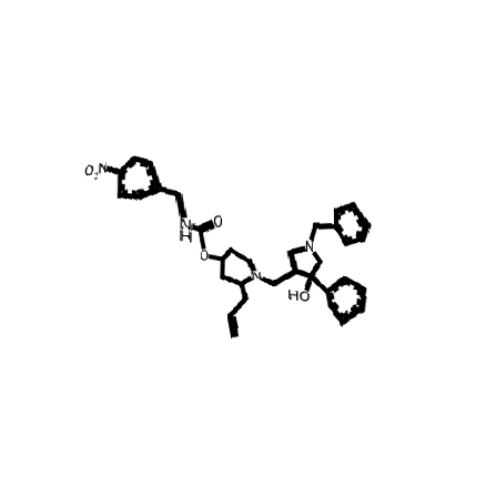 C=CCC1CC(OC(=O)NCc2ccc([N+](=O)[O-])cc2)CCN1CC1CN(Cc2ccccc2)CC1(O)c1ccccc1